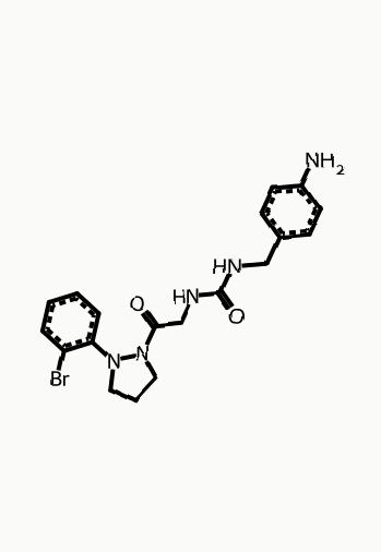 Nc1ccc(CNC(=O)NCC(=O)N2CCCN2c2ccccc2Br)cc1